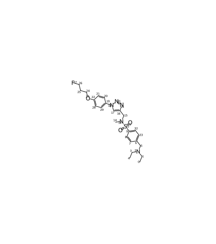 CCN(CC)Cc1ccc(S(=O)(=O)N(C)Cc2cn(-c3ccc(OCCCF)cc3)nn2)cc1